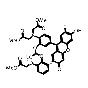 COC(=O)COc1ccccc1OC(C)Oc1cc(-c2c3cc(F)c(=O)cc-3oc3cc(O)c(F)cc23)ccc1N(CC(=O)OC)CC(=O)OC